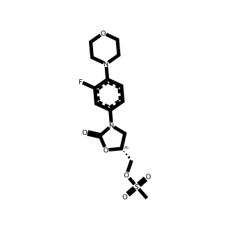 CS(=O)(=O)OC[C@H]1CN(c2ccc(N3CCOCC3)c(F)c2)C(=O)O1